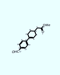 COC(=O)CC1CC=C(c2ccc(C=O)cc2)CC1